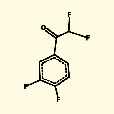 O=C(c1ccc(F)c(F)c1)C(F)F